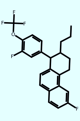 CCCC1CCc2c(ccc3ccc(F)cc23)C1c1ccc(OC(F)(F)F)c(F)c1